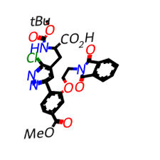 COC(=O)c1ccc(-c2cc(CC(NC(=O)OC(C)(C)C)C(=O)O)c(Cl)nn2)c(OCCN2C(=O)c3ccccc3C2=O)c1